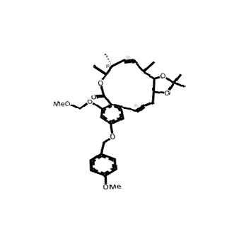 COCOc1cc(OCc2ccc(OC)cc2)cc2c1C(=O)OC(C)[C@H](C)/C=C\C(C)C1OC(C)(C)OC1C/C=C/2